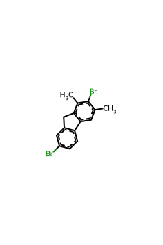 Cc1cc2c(c(C)c1Br)Cc1cc(Br)ccc1-2